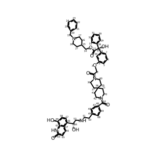 O=C(COc1cccc([C@](O)(C(=O)OCC2CCN(Cc3ccccc3)CC2)c2ccccc2)c1)N1CCC2(CC1)CCN(C(=O)c1ccc(CCNC[C@H](O)c3ccc(O)c4[nH]c(=O)ccc34)cc1)CC2